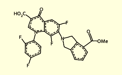 COC(=O)c1cccc2c1CN(c1c(F)cc3c(=O)c(C(=O)O)cn(-c4ccc(F)cc4F)c3c1F)C2